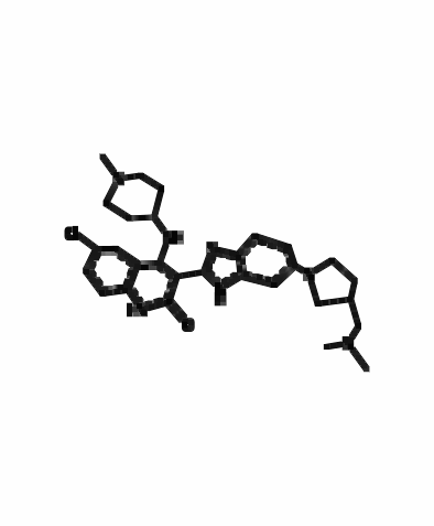 CN(C)CC1CCN(c2ccc3nc(-c4c(NC5CCN(C)CC5)c5cc(Cl)ccc5[nH]c4=O)[nH]c3c2)C1